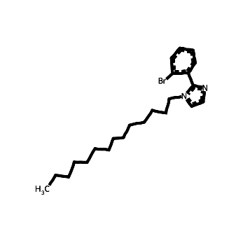 CCCCCCCCCCCCCCn1ccnc1-c1ccccc1Br